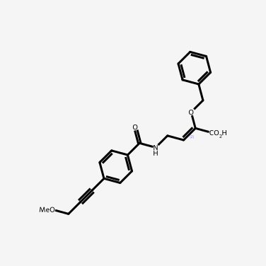 COCC#Cc1ccc(C(=O)NC/C=C(\OCc2ccccc2)C(=O)O)cc1